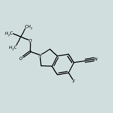 CC(C)(C)OC(=O)N1Cc2cc(F)c(C#N)cc2C1